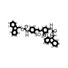 O=C(Nc1ccc(C=Cc2ccc(NC(=O)OCC3c4ccccc4-c4ccccc43)cc2S(=O)(=O)O)c(S(=O)(=O)O)c1)OCC1c2ccccc2-c2ccccc21